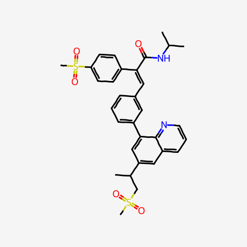 CC(C)NC(=O)/C(=C/c1cccc(-c2cc(C(C)CS(C)(=O)=O)cc3cccnc23)c1)c1ccc(S(C)(=O)=O)cc1